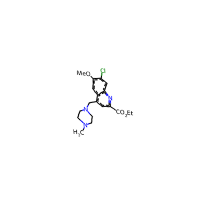 CCOC(=O)c1cc(CN2CCN(C)CC2)c2cc(OC)c(Cl)cc2n1